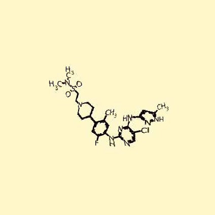 Cc1cc(Nc2nc(Nc3cc(C)c(C4CCN(CCS(=O)(=O)N(C)C)CC4)cc3F)ncc2Cl)n[nH]1